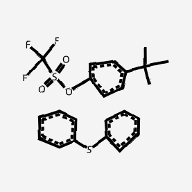 CC(C)(C)c1ccc(OS(=O)(=O)C(F)(F)F)cc1.c1ccc(Sc2ccccc2)cc1